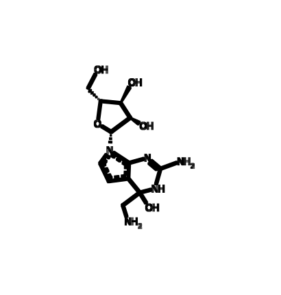 NCC1(O)NC(N)=Nc2c1ccn2[C@@H]1O[C@H](CO)[C@@H](O)[C@H]1O